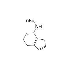 CCCCNC1=CCCC2=C1CC=C2